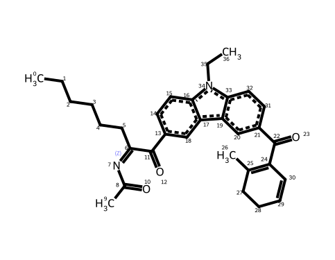 CCCCCC/C(=N/C(C)=O)C(=O)c1ccc2c(c1)c1cc(C(=O)C3=C(C)CCC=C3)ccc1n2CC